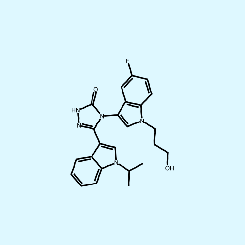 CC(C)n1cc(-c2n[nH]c(=O)n2-c2cn(CCCO)c3ccc(F)cc23)c2ccccc21